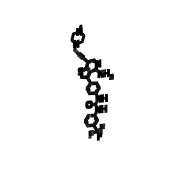 CN1CCN(CC#Cc2cnc(N)c3c(-c4ccc(NC(=O)Nc5cccc(C(F)(F)F)c5)cc4)csc23)CC1